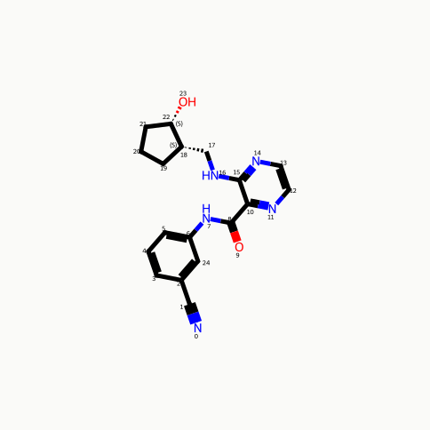 N#Cc1cccc(NC(=O)c2nccnc2NC[C@@H]2CCC[C@@H]2O)c1